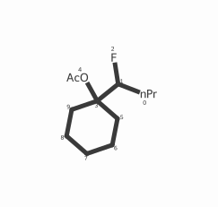 CCCC(F)C1(OC(C)=O)CCCCC1